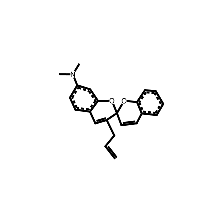 C=CCC1=Cc2ccc(N(C)C)cc2OC12C=Cc1ccccc1O2